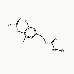 CC(C)NC(=O)OCc1cc(F)c(OC(=O)C(C)C)c(F)c1